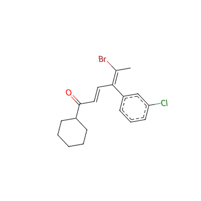 C/C(Br)=C(/C=C/C(=O)C1CCCCC1)c1cccc(Cl)c1